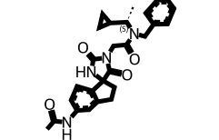 CC(=O)Nc1ccc2c(c1)CCC21NC(=O)N(CC(=O)N(Cc2ccccc2)[C@@H](C)C2CC2)C1=O